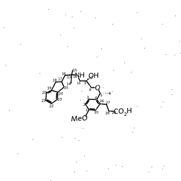 COc1ccc([C@@H](C)OC[C@H](O)CNC(C)(C)CC2Cc3ccccc3C2)c(CCC(=O)O)c1